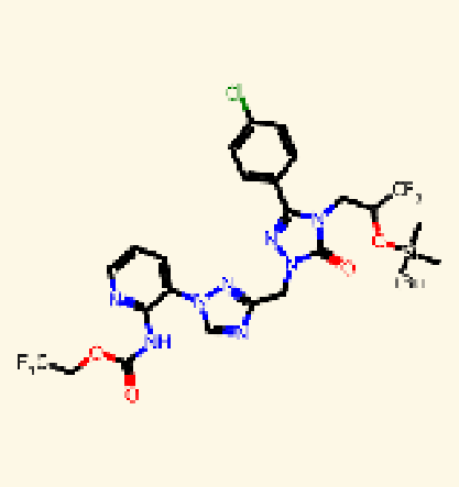 CC(C)(C)[Si](C)(C)OC(Cn1c(-c2ccc(Cl)cc2)nn(Cc2ncn(-c3cccnc3NC(=O)OCC(F)(F)F)n2)c1=O)C(F)(F)F